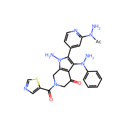 CC(=O)N(N)c1cc(-c2c(N(N)c3ccccc3)c3c(n2N)CN(C(=O)c2cncs2)CC3=O)ccn1